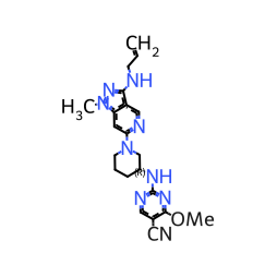 C=CCNc1nn(C)c2cc(N3CCC[C@@H](Nc4ncc(C#N)c(OC)n4)C3)ncc12